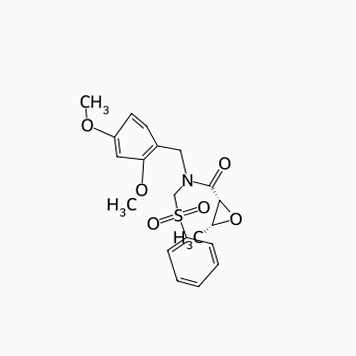 COc1ccc(CN(CS(=O)(=O)c2ccccc2)C(=O)[C@@H]2O[C@@H]2C)c(OC)c1